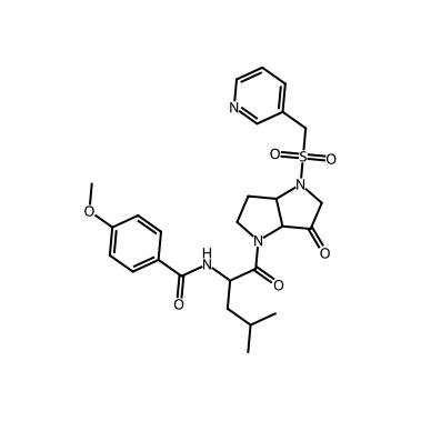 COc1ccc(C(=O)NC(CC(C)C)C(=O)N2CCC3C2C(=O)CN3S(=O)(=O)Cc2cccnc2)cc1